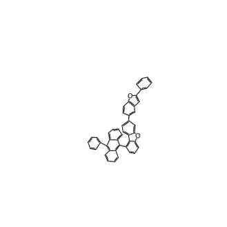 c1ccc(-c2cc3cc(-c4ccc5c(c4)oc4cccc(-c6c7ccccc7c(-c7ccccc7)c7ccccc67)c45)ccc3o2)cc1